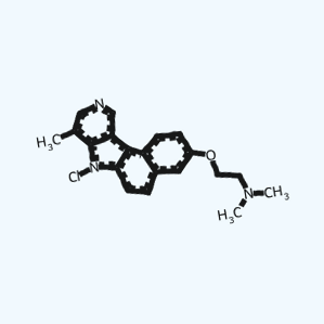 Cc1cncc2c3c4ccc(OCCN(C)C)cc4ccc3n(Cl)c12